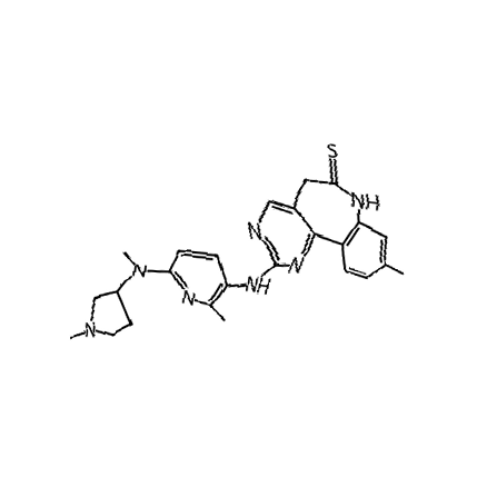 Cc1ccc2c(c1)NC(=S)Cc1cnc(Nc3ccc(N(C)C4CCN(C)C4)nc3C)nc1-2